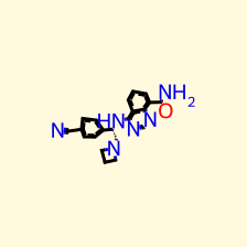 N#Cc1ccc([C@@H](CN2CCC2)Nc2ncnc3c(C(N)=O)cccc23)cc1